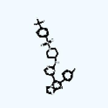 O=S(=O)(c1ccc(C(F)(F)F)cc1)N1CCC(Nc2nccc(-c3c(-c4ccc(F)cc4)nc4occn34)n2)CC1